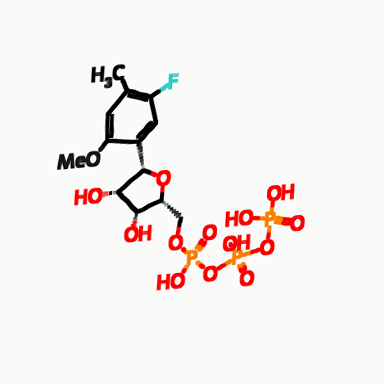 COc1cc(C)c(F)cc1[C@@H]1O[C@H](COP(=O)(O)OP(=O)(O)OP(=O)(O)O)[C@H](O)[C@@H]1O